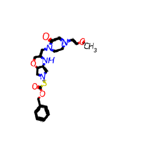 COCCN1CCN(CC2COC3CN(SC(=O)OCc4ccccc4)CC3N2)C(=O)C1